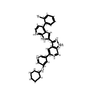 Fc1ccccc1-c1ccnc2[nH]c(-c3n[nH]c4cnc(-c5cncc(OC6CCCCC6)c5)cc34)cc12